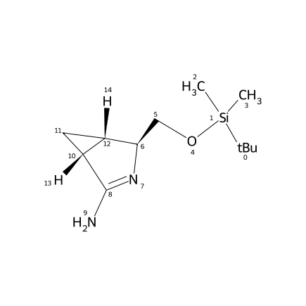 CC(C)(C)[Si](C)(C)OC[C@H]1N=C(N)[C@@H]2C[C@H]12